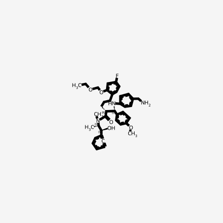 CCOCOc1cc(F)ccc1CCC[C@@H](C(=O)N(C)[C@@H](C)[C@@H](O)c1ccccc1)[C@H](Nc1ccc(CN)cc1)c1ccc(OC)cc1